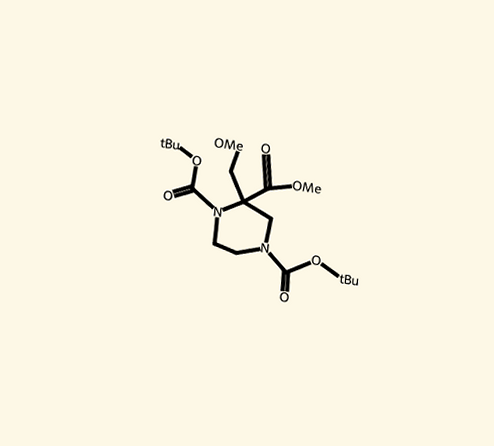 COCC1(C(=O)OC)CN(C(=O)OC(C)(C)C)CCN1C(=O)OC(C)(C)C